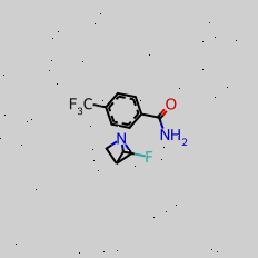 FC1C2CN1C2.NC(=O)c1ccc(C(F)(F)F)cc1